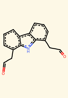 O=CCc1cccc2c1[nH]c1c(CC=O)cccc12